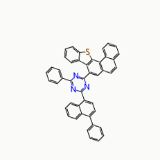 c1ccc(-c2nc(-c3ccc(-c4ccccc4)c4ccccc34)nc(-c3cc4ccc5ccccc5c4c4sc5ccccc5c34)n2)cc1